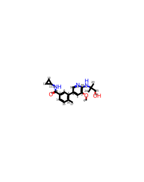 COc1cc(-c2cc(C(=O)NC3CC3)ccc2C)cnc1NC(C)(C)CO